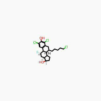 C[C@]12C[C@H](F)C3c4cc(Cl)c(O)c(Cl)c4CC(CCCCCCl)[C@H]3C1CC[C@@]2(C)O